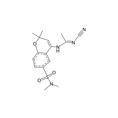 C/C(=N\C#N)NC1=CC(C)(C)Oc2ccc(S(=O)(=O)N(C)C)cc21